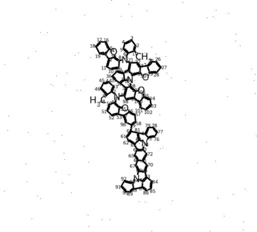 Cc1ccccc1N(c1cccc2c1oc1ccccc12)c1cc2c3ccccc3oc2c2c1c1cccc3c4c(N(c5ccccc5C)c5cccc6c5oc5ccc(-c7ccc8c9cc%10cc%11c(cc%10cc9n9c%10ccccc%10c7c89)c7cccc8c9ccccc9n%11c87)cc56)cc5c6ccccc6oc5c4n2c13